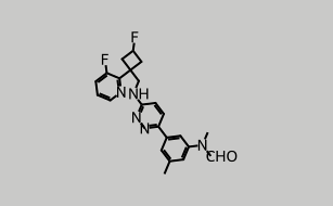 Cc1cc(-c2ccc(NCC3(c4ncccc4F)CC(F)C3)nn2)cc(N(C)C=O)c1